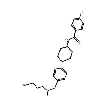 CN(CCCO)Cc1ccc([C@H]2CC[C@H](NC(=O)c3ccc(Cl)cc3)CC2)cc1